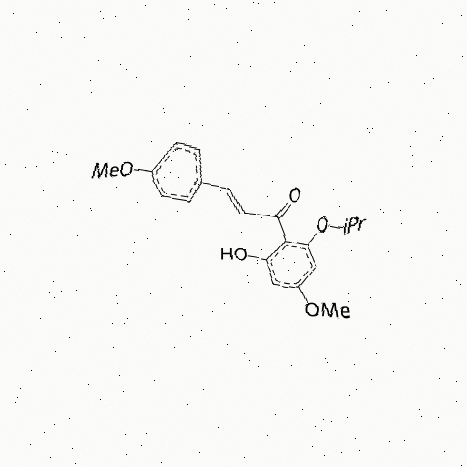 COc1ccc(C=CC(=O)c2c(O)cc(OC)cc2OC(C)C)cc1